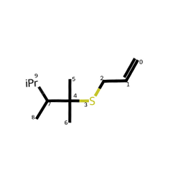 C=CCSC(C)(C)C(C)C(C)C